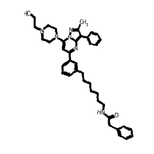 Cc1nn2c(N3CCN(CCO)CC3)cc(-c3cccc(CCCCCCCNC(=O)Cc4ccccc4)c3)nc2c1-c1ccccc1